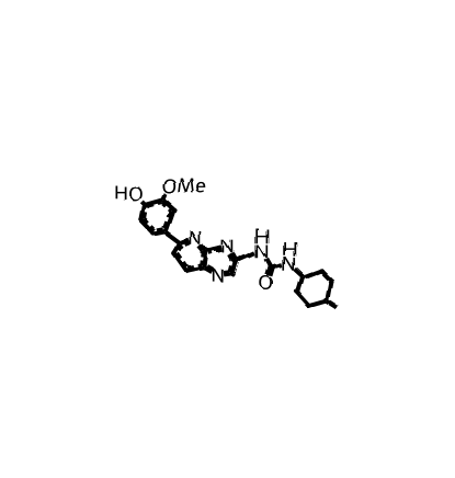 COc1cc(-c2ccc3ncc(NC(=O)NC4CCC(C)CC4)nc3n2)ccc1O